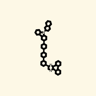 c1cc(-c2ccc(-c3ccc(-c4ccc5c(c4)c4ccccc4n5-c4ccc5ccccc5c4)cc3)cc2)cc(-c2cnc3c4ccccc4c4ccccc4c3n2)c1